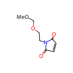 COCOCCN1C(=O)C=CC1=O